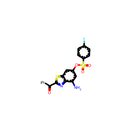 CC(C)C(=O)c1nc2c(N)cc(OS(=O)(=O)c3ccc(F)cc3)cc2s1